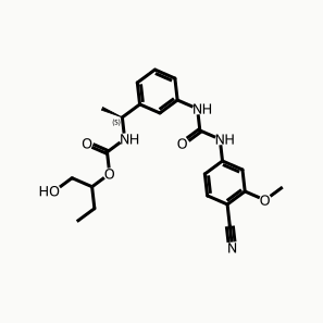 CCC(CO)OC(=O)N[C@@H](C)c1cccc(NC(=O)Nc2ccc(C#N)c(OC)c2)c1